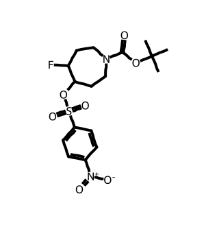 CC(C)(C)OC(=O)N1CCC(F)C(OS(=O)(=O)c2ccc([N+](=O)[O-])cc2)CC1